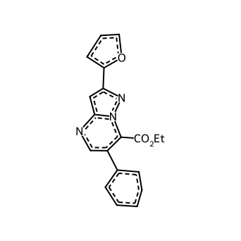 CCOC(=O)c1c(-c2ccccc2)cnc2cc(-c3ccco3)nn12